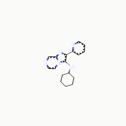 c1ccc(-c2nc3cnccn3c2NC2CCCCC2)nc1